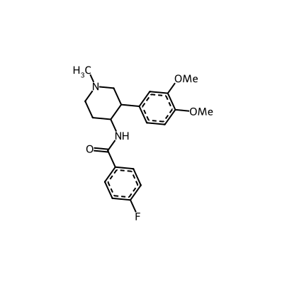 COc1ccc(C2CN(C)CCC2NC(=O)c2ccc(F)cc2)cc1OC